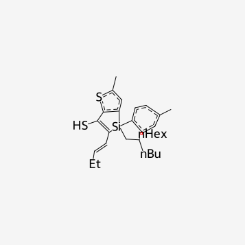 CCC=CC1=C(S)c2sc(C)cc2[Si]1(CC(CCCC)CCCCCC)c1ccc(C)cc1